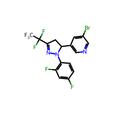 Fc1ccc(N2N=C(C(F)(F)C(F)(F)F)CC2c2cncc(Br)c2)c(F)c1